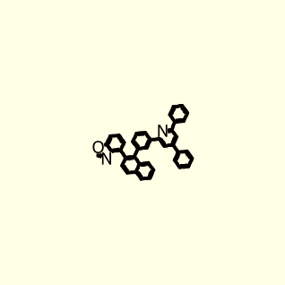 c1ccc(-c2cc(-c3ccccc3)nc(-c3cccc(-c4c(-c5cccc6ocnc56)ccc5ccccc45)c3)c2)cc1